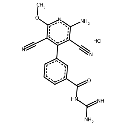 COc1nc(N)c(C#N)c(-c2cccc(C(=O)NC(=N)N)c2)c1C#N.Cl